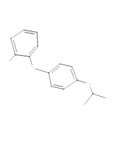 CC(C)Nc1ccc(Nc2ccccc2O)cc1